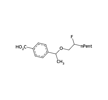 CCCCCC(F)COC(C)c1ccc(C(=O)O)cc1